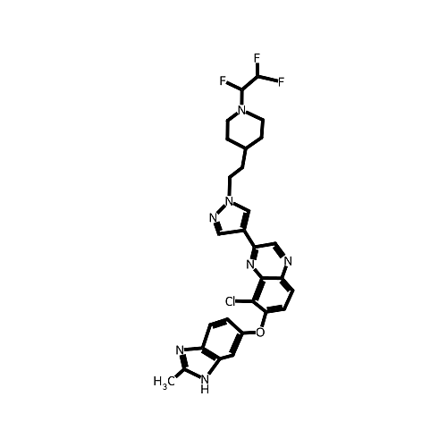 Cc1nc2ccc(Oc3ccc4ncc(-c5cnn(CCC6CCN(C(F)C(F)F)CC6)c5)nc4c3Cl)cc2[nH]1